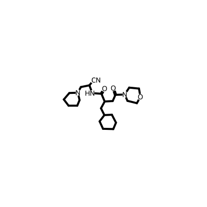 N#CC(CN1CCCCC1)NC(=O)C(CC(=O)N1CCOCC1)CC1CCCCC1